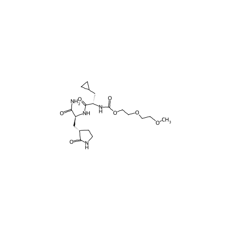 COCCOCCOC(=O)N[C@@H](CC1CC1)C(=O)N[C@@H](C[C@@H]1CCNC1=O)C(N)=O